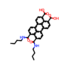 CCCCNC(=O)c1ccc2c3ccc(C(=O)O)c4c(C(=O)O)ccc(c5ccc(C(=O)NCCCC)c1c25)c43